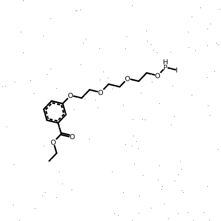 CCOC(=O)c1cccc(OCCOCCOCCOPI)c1